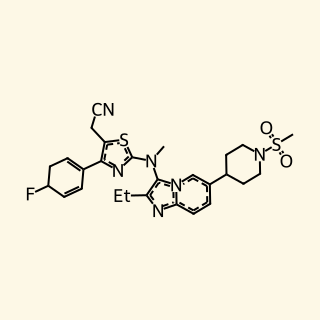 CCc1nc2ccc(C3CCN(S(C)(=O)=O)CC3)cn2c1N(C)c1nc(C2=CCC(F)C=C2)c(CC#N)s1